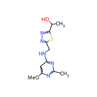 COc1cc(NCc2nnc(C(C)O)s2)nc(C)n1